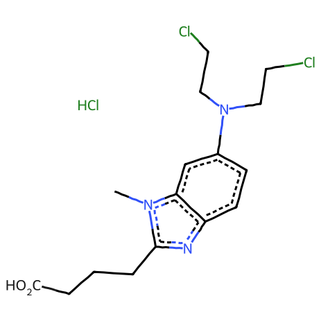 Cl.Cn1c(CCCC(=O)O)nc2ccc(N(CCCl)CCCl)cc21